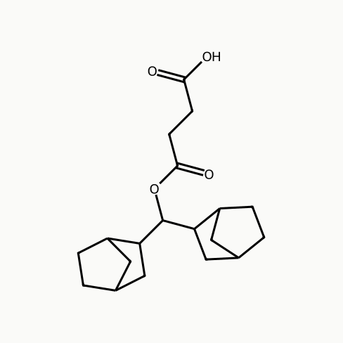 O=C(O)CCC(=O)OC(C1CC2CCC1C2)C1CC2CCC1C2